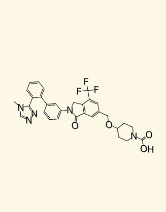 Cn1cnnc1-c1ccccc1-c1cccc(N2Cc3c(cc(COC4CCN(C(=O)O)CC4)cc3C(F)(F)F)C2=O)c1